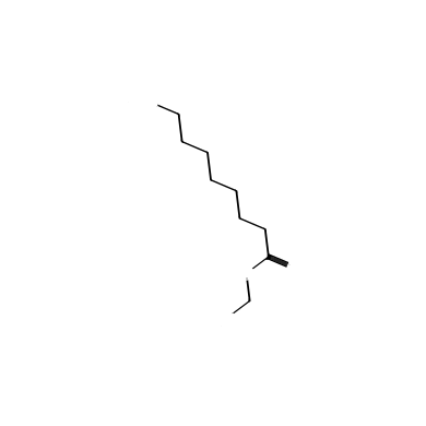 CCCCCCCCCCCCCCCC(=O)OCC(=O)O